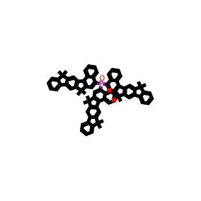 CC1(C)C2=CC3=C(CC2c2ccccc21)C(C)(C)c1cc(P(=O)(c2cc4c(c5ccccc25)-c2cc5c(cc2C4(C)C)-c2ccccc2C5(C)C)c2cc4c(c5ccccc25)-c2cc5c(cc2C4(C)C)-c2ccccc2C5(C)C)c2ccccc2c13